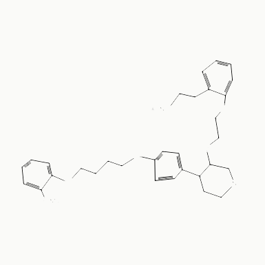 COc1ccccc1OCCCCOc1ccc(C2CCNCC2OCCOc2ccccc2CCNC(C)=O)cc1